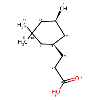 C[C@H]1C[C@@H](CCC(=O)O)CC(C)(C)C1